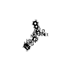 CCNC(=O)[C@H]1O[C@@H](n2cnc3c(NC(=O)NC45CC6CC(CC(C6)C4)C5)ncnc32)[C@H]2OC3(Cc4ccccc4C3)OC12